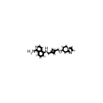 Nc1nccc2c(NCC34CC(CO[C@H]5CCn6ccnc6C5)(C3)C4)cccc12